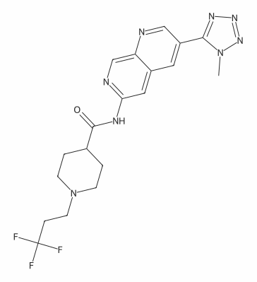 Cn1nnnc1-c1cnc2cnc(NC(=O)C3CCN(CCC(F)(F)F)CC3)cc2c1